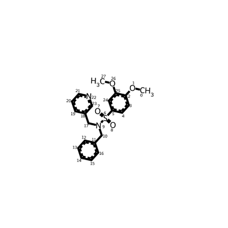 COc1ccc(S(=O)(=O)N(Cc2ccccc2)Cc2cccnc2)cc1OC